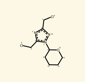 ClCc1nc(CCl)n(C2CCCCO2)n1